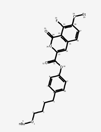 CCCCOCCCCc1ccc(OC(=O)c2cc3ccc(OCC)c(F)c3c(=O)o2)cc1